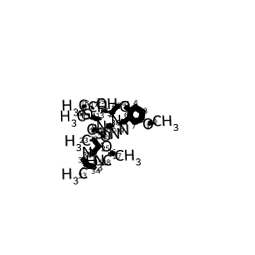 COc1ccc2c(c1)-c1nnc(N(CC[Si](C)(C)C)S(=O)(=O)[C@@H](C)[C@@H](OC(C)C)c3ncc(C)cn3)n1[C@@H](CO)CO2